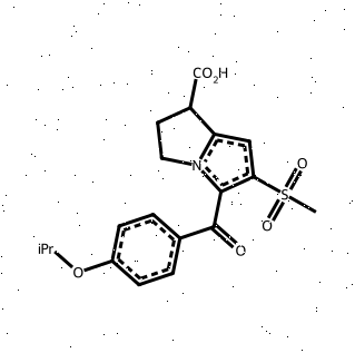 CC(C)Oc1ccc(C(=O)c2c(S(C)(=O)=O)cc3n2CCC3C(=O)O)cc1